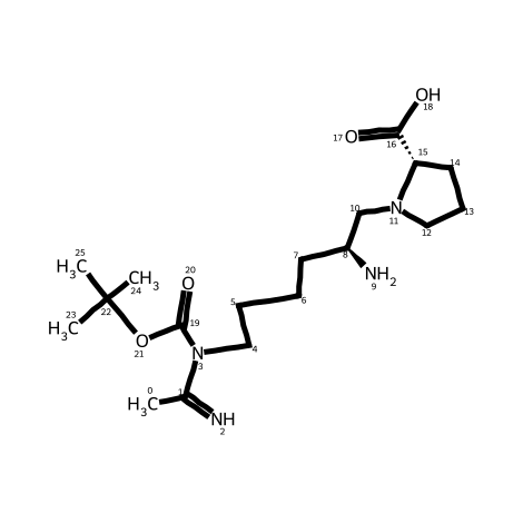 CC(=N)N(CCCC[C@H](N)CN1CCC[C@H]1C(=O)O)C(=O)OC(C)(C)C